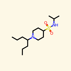 CCCC(CCC)N1CCC(S(=O)(=O)NC(C)C)CC1